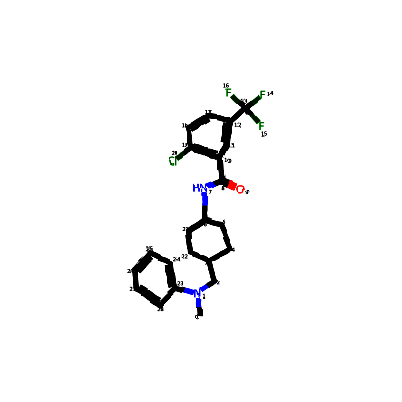 CN(CC1CCC(NC(=O)c2cc(C(F)(F)F)ccc2Cl)CC1)c1ccccc1